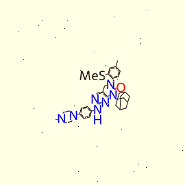 CSc1cc(C)ccc1N1Cc2cnc(Nc3ccc(N4CCN(C)CC4)cc3)nc2N(C23CC4CC(CC(C4)C2)C3)C1=O